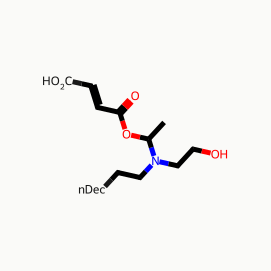 CCCCCCCCCCCCN(CCO)C(C)OC(=O)C=CC(=O)O